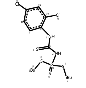 CCC(C)SP(=S)(NC(=S)Nc1ccc(Cl)cc1Cl)SC(C)CC